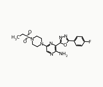 CCS(=O)(=O)N1CCN(c2cnc(N)c(-c3nnc(-c4ccc(F)cc4)o3)n2)CC1